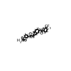 NS(=O)(=O)c1cccc(NC(=O)Cn2cc3cc(NC(=O)c4cccc(C(F)(F)F)n4)ccc3n2)c1